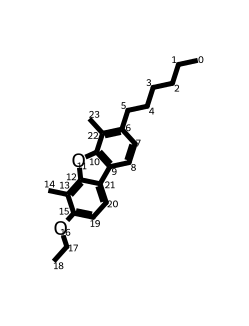 CCCCCCc1ccc2c(oc3c(C)c(OCC)ccc32)c1C